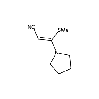 CSC(=CC#N)N1CCCC1